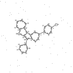 Clc1ccc(-c2ccc3c(c2)c2c4ccccc4oc2n3-c2ccccc2)cc1